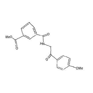 COC(=O)c1cccc(C(=O)NCC(=O)c2ccc(OC)cc2)c1